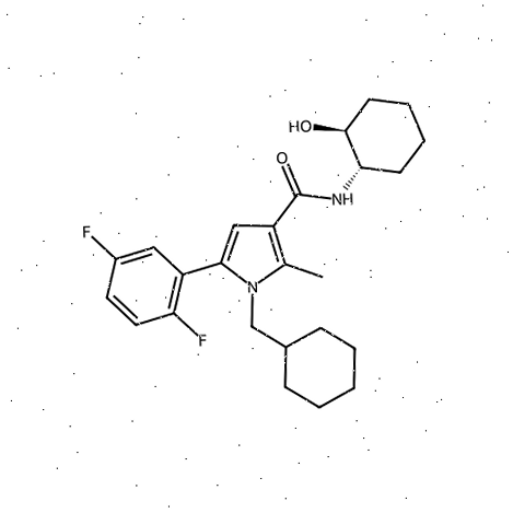 Cc1c(C(=O)N[C@H]2CCCC[C@@H]2O)cc(-c2cc(F)ccc2F)n1CC1CCCCC1